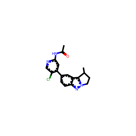 CC(=O)Nc1cc(-c2ccc3nn4c(c3c2)C(C)CC4)c(Cl)cn1